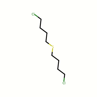 ClCCCCSCCCCCl